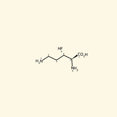 F.NCCC[C@H](N)C(=O)O